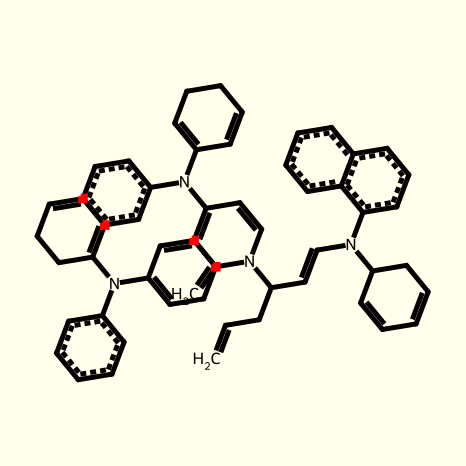 C=C/C=C(\C=C/N(C1C=CC(N(C2=CC=CCC2)c2ccccc2)=CC1)C(/C=C/N(c1cccc2ccccc12)C1C=CC=CC1)CC=C)N(C1=CCCC=C1)c1ccccc1